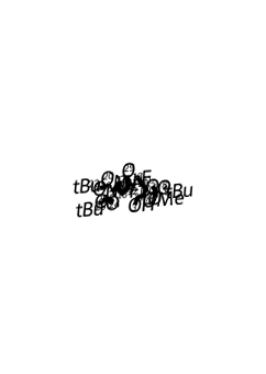 CO[C@H](CO)[C@H](OC(=O)OC(C)(C)C)C(F)(F)Cn1ccc(N(C(=O)OC(C)(C)C)C(=O)OC(C)(C)C)nc1=O